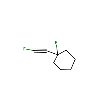 FC#CC1(F)CCCCC1